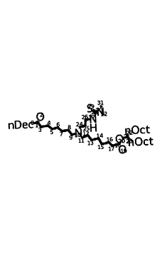 CCCCCCCCCCC(=O)CCCCCCCN(CCCCCCCC(=O)OC(CCCCCCCC)CCCCCCCC)CCCNC(=S)N(C)C